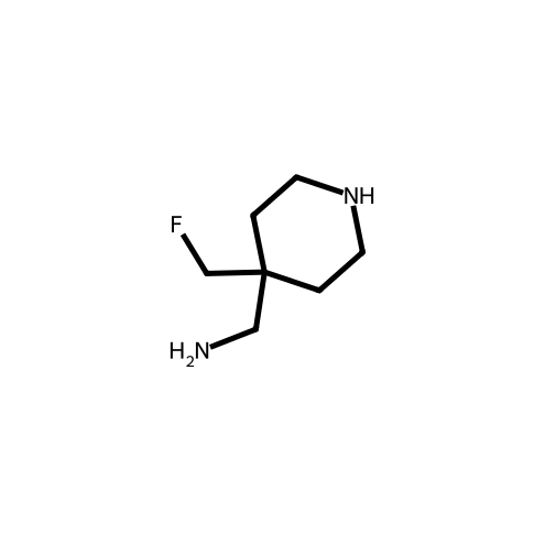 NCC1(CF)CCNCC1